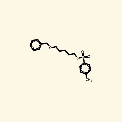 Cc1ccc(S(=O)(=O)SCCCCCOCc2ccccc2)cc1